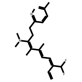 C=C\C(=C/C=C(C)/C(C)=C(\CCC(/C=C\C(=C)C)=N/C)N(C)C)C(F)F